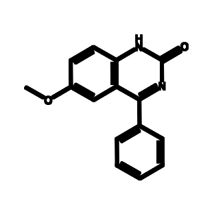 COc1ccc2[nH]c(=O)nc(-c3ccccc3)c2c1